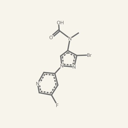 CN(C(=O)O)c1cn(-c2cncc(F)c2)nc1Br